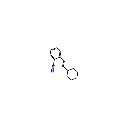 N#Cc1ccccc1C=CC1CCCCC1